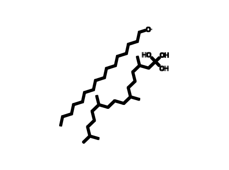 CC(C)CCCC(C)CCCC(C)CCCC(C)CC(O)(O)O.CCCCCCCCCCCCCCCC[O]